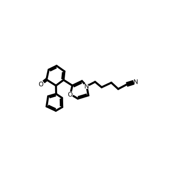 N#CCCCCN1C=COC(C2=CC=CC(=O)C2c2ccccc2)=C1